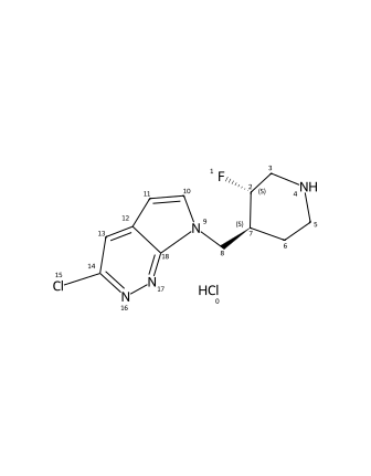 Cl.F[C@@H]1CNCC[C@H]1Cn1ccc2cc(Cl)nnc21